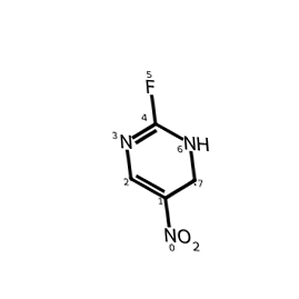 O=[N+]([O-])C1=CN=C(F)N[CH]1